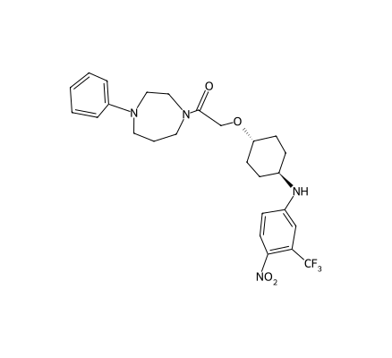 O=C(CO[C@H]1CC[C@H](Nc2ccc([N+](=O)[O-])c(C(F)(F)F)c2)CC1)N1CCCN(c2ccccc2)CC1